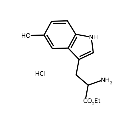 CCOC(=O)C(N)Cc1c[nH]c2ccc(O)cc12.Cl